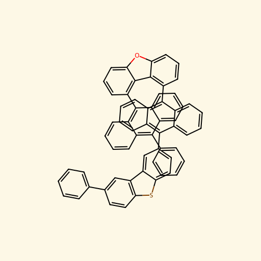 c1ccc(-c2ccc3sc4ccc(-c5c6ccccc6c(-c6cccc7oc8cccc(-c9c%10ccccc%10c(-c%10ccccc%10)c%10ccccc9%10)c8c67)c6ccccc56)cc4c3c2)cc1